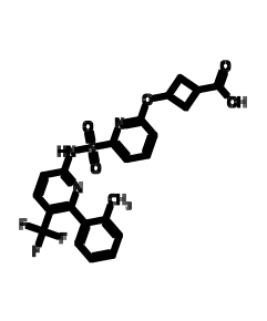 Cc1ccccc1-c1nc(NS(=O)(=O)c2cccc(OC3CC(C(=O)O)C3)n2)ccc1C(F)(F)F